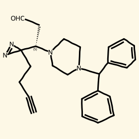 C#CCCC1([C@H](CC=O)N2CCN(C(c3ccccc3)c3ccccc3)CC2)N=N1